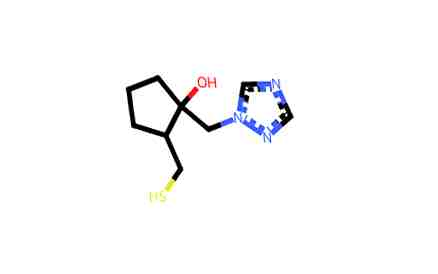 OC1(Cn2cncn2)CCCC1CS